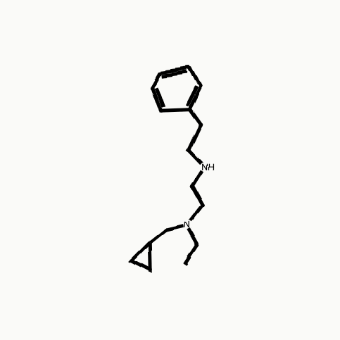 CCN(CCNCCc1ccccc1)CC1CC1